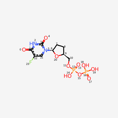 O=c1[nH]c(=O)n([C@H]2CC[C@@H](COP(=O)(O)OP(=O)(O)O)O2)cc1F